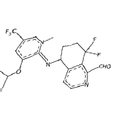 Cn1cc(C(F)(F)F)cc(OC(F)F)/c1=N/C1CCC(F)(F)c2c1ccnc2C=O